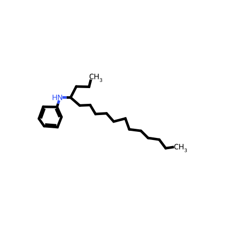 CCCCCCCCCCCCC(CCC)Nc1ccccc1